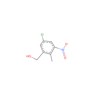 Cc1c(CO)cc(Cl)cc1[N+](=O)[O-]